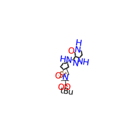 CC(C)(C)OC(=O)C(C)(C)N1Cc2cc(Nc3n[nH]c4cc[nH]c(=O)c34)ccc2[S+]1[O-]